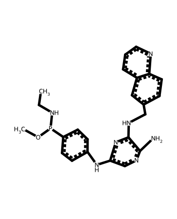 CCNP(OC)c1ccc(Nc2cnc(N)c(NCc3ccc4ncccc4c3)n2)cc1